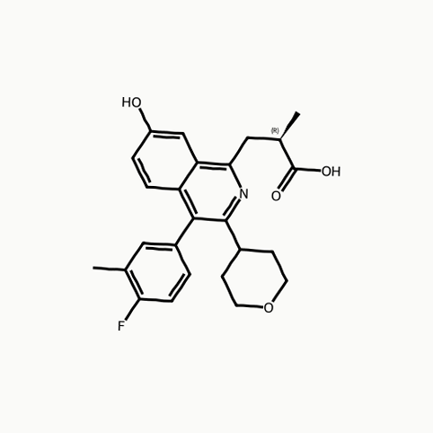 Cc1cc(-c2c(C3CCOCC3)nc(C[C@@H](C)C(=O)O)c3cc(O)ccc23)ccc1F